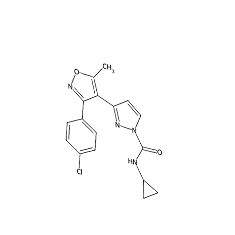 Cc1onc(-c2ccc(Cl)cc2)c1-c1ccn(C(=O)NC2CC2)n1